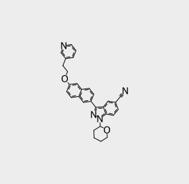 N#Cc1ccc2c(c1)c(-c1ccc3cc(OCCc4cccnc4)ccc3c1)nn2C1CCCCO1